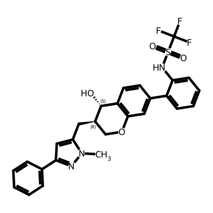 Cn1nc(-c2ccccc2)cc1C[C@@H]1COc2cc(-c3ccccc3NS(=O)(=O)C(F)(F)F)ccc2[C@H]1O